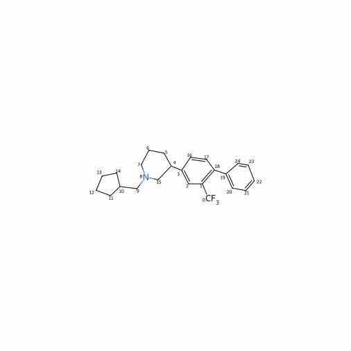 FC(F)(F)c1cc(C2CCCN(CC3CCCC3)C2)ccc1-c1ccccc1